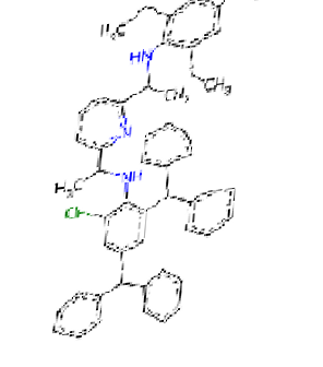 CCc1cc(C)cc(CC)c1NC(C)c1cccc(C(C)Nc2c(Cl)cc(C(c3ccccc3)c3ccccc3)cc2C(c2ccccc2)c2ccccc2)n1